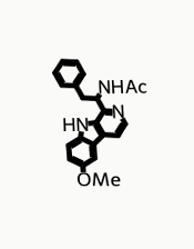 COc1ccc2[nH]c3c(C(Cc4ccccc4)NC(C)=O)nccc3c2c1